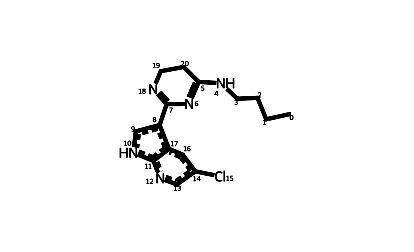 CCCCNC1=NC(c2c[nH]c3ncc(Cl)cc23)=NCC1